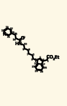 CCOC(=O)Cc1cn(CCCCCCNC(=O)CCc2cccnc2)c2ccccc12